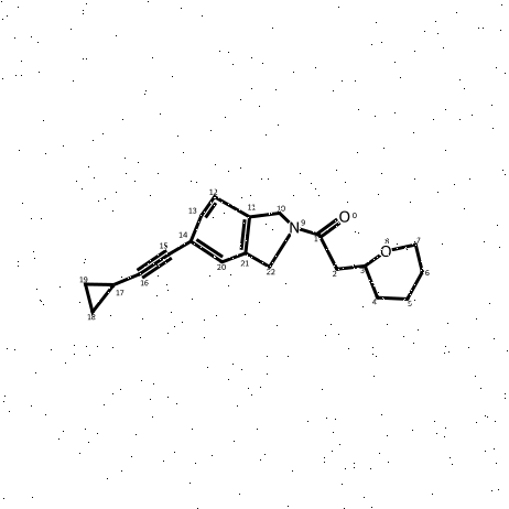 O=C(CC1CCCCO1)N1Cc2ccc(C#CC3CC3)cc2C1